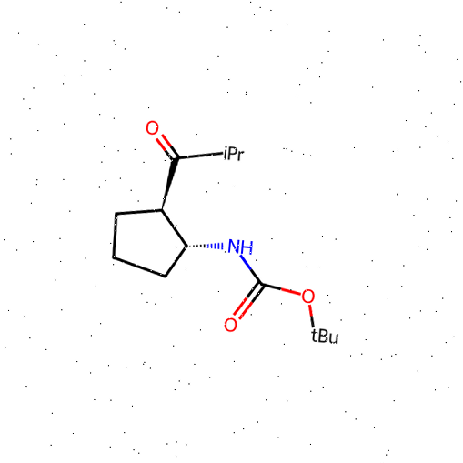 CC(C)C(=O)[C@@H]1CCC[C@H]1NC(=O)OC(C)(C)C